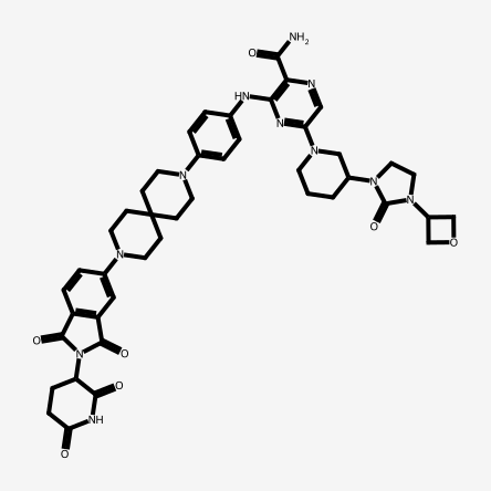 NC(=O)c1ncc(N2CCCC(N3CCN(C4COC4)C3=O)C2)nc1Nc1ccc(N2CCC3(CC2)CCN(c2ccc4c(c2)C(=O)N(C2CCC(=O)NC2=O)C4=O)CC3)cc1